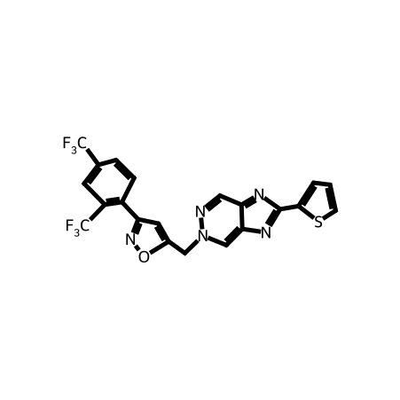 FC(F)(F)c1ccc(-c2cc(Cn3cc4nc(-c5cccs5)nc-4cn3)on2)c(C(F)(F)F)c1